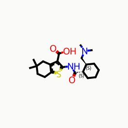 CN(C)C[C@H]1CCCC[C@@H]1C(=O)Nc1sc2c(c1C(=O)O)CC(C)(C)CC2